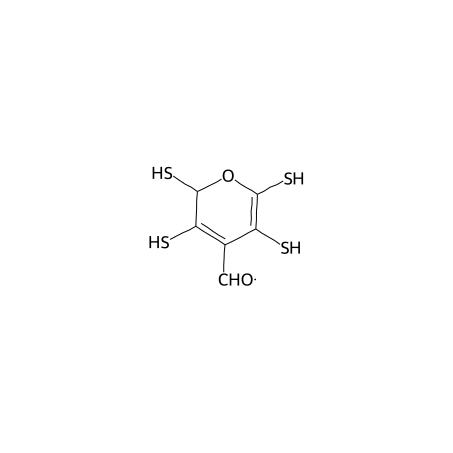 O=[C]C1=C(S)C(S)OC(S)=C1S